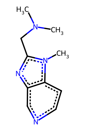 CN(C)Cc1nc2cnccc2n1C